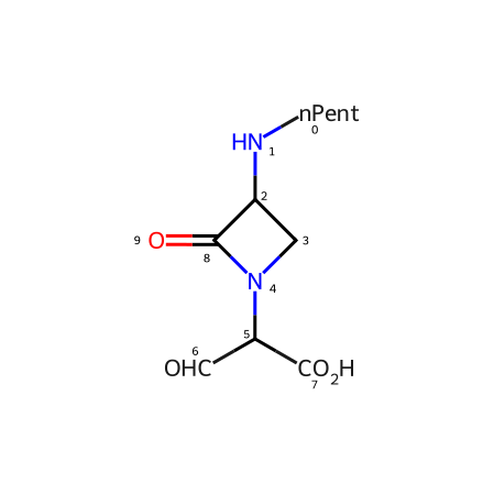 CCCCCNC1CN(C(C=O)C(=O)O)C1=O